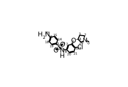 CN1CC[C@@H](Oc2cc(NS(=O)(=O)c3ccc(N)cc3)ccc2Cl)C1